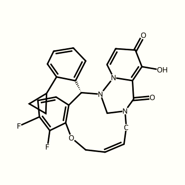 O=C1c2c(O)c(=O)ccn2N2CN1C/C=C\COc1c(ccc(F)c1F)[C@@H]2c1ccccc1C1CC1